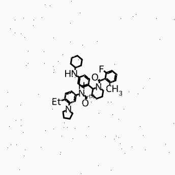 CCc1ccc(NC(=O)[C@H]2CCCN(C(=O)c3c(C)cccc3F)C2c2ccc(NC3CCCCC3)cc2)cc1N1CCCC1